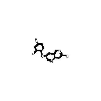 Fc1ccc(Oc2cnc3cc(Cl)ncc3c2)c(F)c1